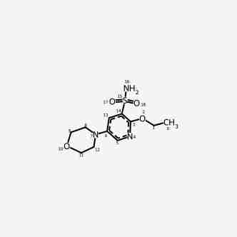 CCOc1ncc(N2CCOCC2)cc1S(N)(=O)=O